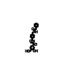 O=C(Cc1ccccc1)NCc1ccc(-c2nc(C(=O)N3CC[C@H](CO)[C@H](O)C3)co2)cc1